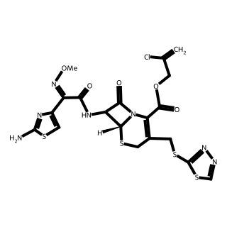 C=C(Cl)COC(=O)C1=C(CSc2nncs2)CS[C@@H]2C(NC(=O)/C(=N\OC)c3csc(N)n3)C(=O)N12